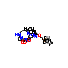 CC1(C)C[C@@H]2CCCNc3cccc(n3)S(=O)(=O)NC(=O)c3ccc(-n4ccc(OCCCS(C)(C)C)n4)nc3N1C2